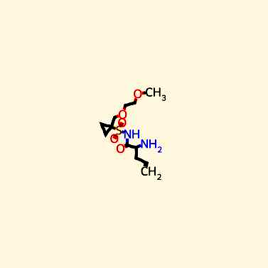 C=CCC(N)C(=O)NS(=O)(=O)C1(COCCOC)CC1